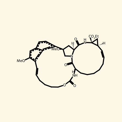 CCOC(=O)[C@@]12C[C@H]1/C=C\CCCCC[C@@H]1NC(=O)OCCCC/C=C/c3cc4cc(ccc4cc3OC)[C@]3(OC)C[C@@H](C(=O)N2)N(C3)C1=O